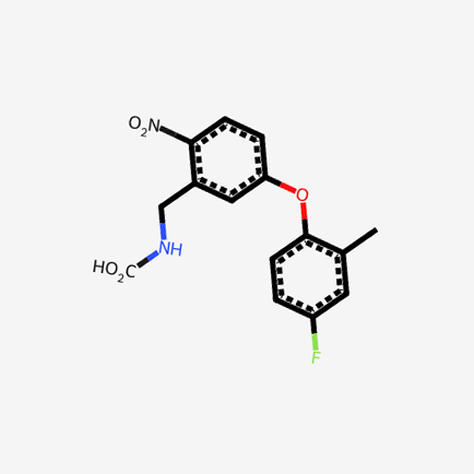 Cc1cc(F)ccc1Oc1ccc([N+](=O)[O-])c(CNC(=O)O)c1